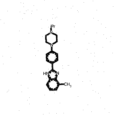 Cc1cccc2[nH]c(-c3ccc(N4CCN(C(C)C)CC4)cc3)nc12